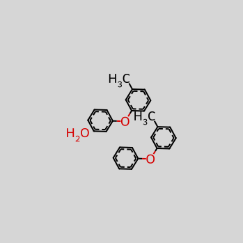 Cc1cccc(Oc2ccccc2)c1.Cc1cccc(Oc2ccccc2)c1.O